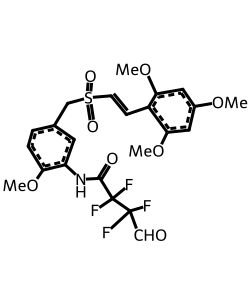 COc1cc(OC)c(/C=C/S(=O)(=O)Cc2ccc(OC)c(NC(=O)C(F)(F)C(F)(F)C=O)c2)c(OC)c1